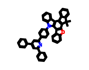 CC1(C)c2ccccc2-c2c1c1oc3ccccc3c1c1c2c2ccccc2n1-c1ccc(-c2cc(-c3ccccc3)cc(-c3ccccc3)n2)cc1